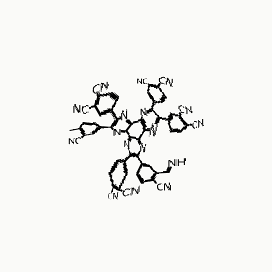 Cc1ccc(-c2nc3c(nc2-c2ccc(C#N)c(C#N)c2)c2nc(-c4ccc(C#N)c(C#N)c4)c(-c4ccc(C#N)c(C#N)c4)nc2c2nc(-c4ccc(C#N)c(C=N)c4)c(-c4ccc(C#N)c(C#N)c4)nc32)cc1C#N